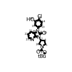 CC(C)(C)OC(=O)N1CCC(n2c(=O)n(-c3ccc(Cl)c(O)c3)c3cccnc32)C1